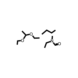 CCCC.CCN(C)C=O.CCOC(C)OCC